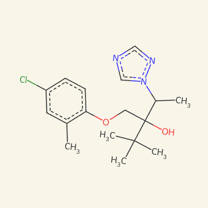 Cc1cc(Cl)ccc1OCC(O)(C(C)n1cncn1)C(C)(C)C